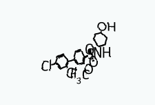 O=S(=O)(N[C@H]1CC[C@H](O)CC1)c1ccc(-c2ccc(Cl)cc2Cl)cc1OC(F)(F)F